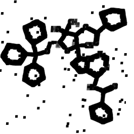 CC1(O)C(OC(=O)c2ccccc2)[C@](C#N)(c2ccc3c(NC(=O)c4ccccc4)ncnn23)O[C@@H]1COC(c1ccccc1)(c1ccccc1)c1ccccc1